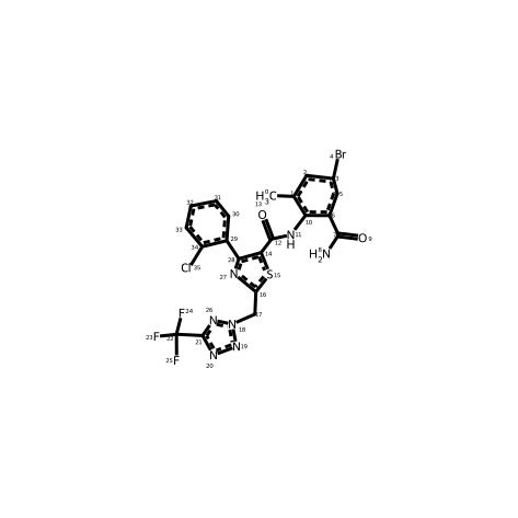 Cc1cc(Br)cc(C(N)=O)c1NC(=O)c1sc(Cn2nnc(C(F)(F)F)n2)nc1-c1ccccc1Cl